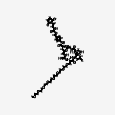 COCCOCCOCCOCCOCCOCCOCCOCCC(=O)N[C@@H](CC(C)C)C(=O)N[C@@H](CO)C(=O)NCC(=O)N[C@@H](CCCNC(=N)N)C(=O)Nc1ccc(COC(=O)NCCN2C(=O)C=CC2=O)cc1